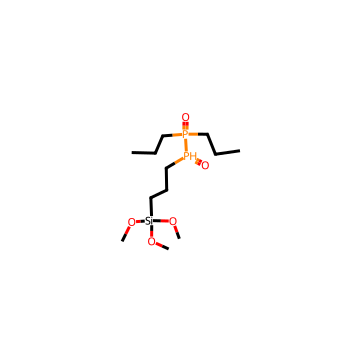 CCCP(=O)(CCC)[PH](=O)CCC[Si](OC)(OC)OC